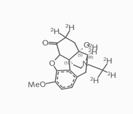 [2H]O[C@@]12CC([2H])([2H])C(=O)C3Oc4c(OC)ccc5c4[C@@]31CCN(C([2H])([2H])[2H])[C@]2([2H])C5